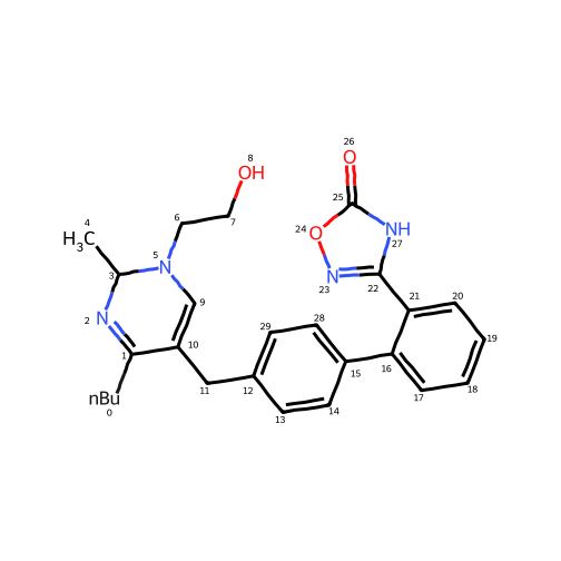 CCCCC1=NC(C)N(CCO)C=C1Cc1ccc(-c2ccccc2-c2noc(=O)[nH]2)cc1